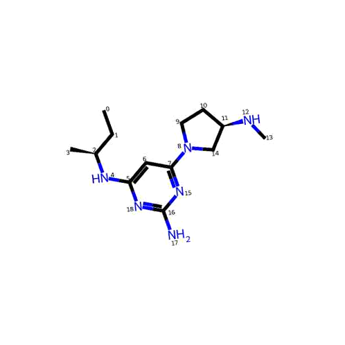 CC[C@H](C)Nc1cc(N2CC[C@@H](NC)C2)nc(N)n1